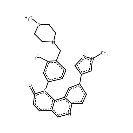 Cc1cc(-n2c(=O)ccc3cnc4ccc(-c5cnn(C)c5)cc4c32)ccc1CN1CCN(C)CC1